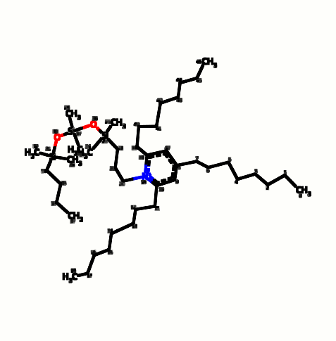 CCCCCCCCc1cc(CCCCCCCC)[n+](CCC[Si](C)(C)O[Si](C)(C)O[Si](C)(C)CCCC)c(CCCCCCCC)c1